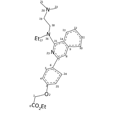 CCOC(=O)COc1ccc(-c2cc3ccccc3c(N(CC)CCN(C)C)n2)cc1